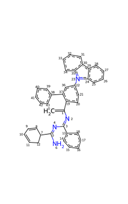 C=C(/N=C(\N=C(/N)C1C=CC=CC1)c1ccccc1)c1ccc(-n2c3ccccc3c3ccccc32)cc1-c1ccccc1